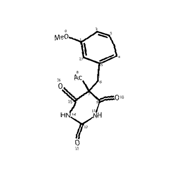 COc1cccc(CC2(C(C)=O)C(=O)NC(=O)NC2=O)c1